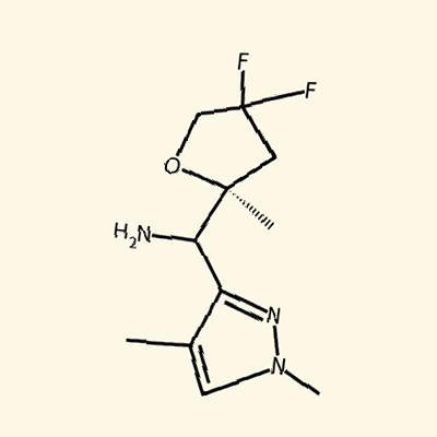 Cc1cn(C)nc1C(N)[C@]1(C)CC(F)(F)CO1